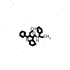 CCCc1c(-c2ccccc2)nc2ccccc2c1C(=O)NC(CC)c1ccccc1